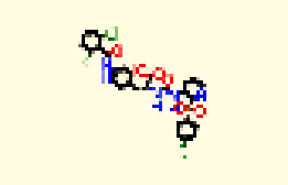 O=C(Nc1cccnc1S(=O)(=O)c1ccc(Cl)cc1)N[C@@H](Cc1ccc(NC(=O)c2c(Cl)cccc2Cl)cc1)C(=O)O